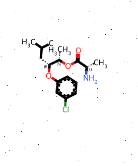 CC(C)C[C@@H](Oc1cccc(Cl)c1)[C@H](C)OC(=O)[C@H](C)N